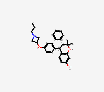 CCCN1CC(Oc2ccc([C@@H]3c4ccc(O)cc4OC(C)(C)[C@H]3c3ccccc3)cc2)C1